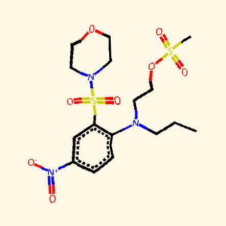 CCCN(CCOS(C)(=O)=O)c1ccc([N+](=O)[O-])cc1S(=O)(=O)N1CCOCC1